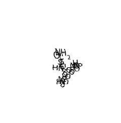 COc1cc2c(cc1OCc1cc(COc3cc4c(cc3OC)C(=O)N3c5ccccc5C[C@H]3C=N4)cc(NC(=O)CC(C)(C)SSC(C)CCC(N)=O)c1)N=C[C@@H]1Cc3ccccc3N1C2=O